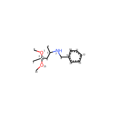 CO[Si](C)(CC(C)NCc1ccccc1)OC